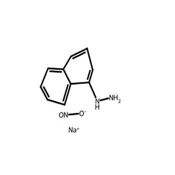 NNc1cccc2ccccc12.O=N[O-].[Na+]